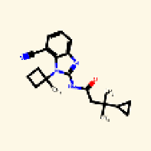 CC(C)(CC(=O)Nc1nc2cccc(C#N)c2n1C1(C)CCC1)C1CC1